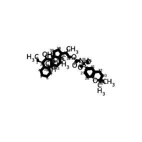 CC[C@@H]1C2CCCCC2(C)[C@H]2CCC3(C)C([C@H](C)COC(=O)NS(=O)(=O)c4ccc5c(c4)CCC(C)(C)O5)CC[C@H]3[C@@H]2[C@@H]1O